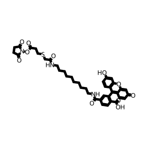 O=C(CSCCC(=O)ON1C(=O)CCC1=O)NCCCCCCCCCCNC(=O)c1ccc(C(=O)O)c(-c2c3ccc(=O)cc-3oc3cc(O)ccc23)c1